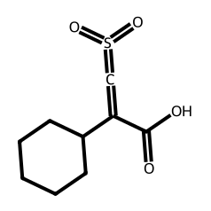 O=C(O)C(=C=S(=O)=O)C1CCCCC1